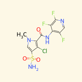 Cn1cc(S(N)(=O)=O)c(Cl)c1C(=O)Nc1c(F)cnc(F)c1F